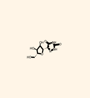 O=c1[nH]nc([C@@H]2O[C@H](CO)[C@@H](O)[C@H]2O)c(=O)[nH]1